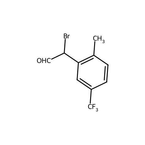 Cc1ccc(C(F)(F)F)cc1C(Br)C=O